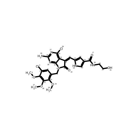 COc1c(Cl)cc(CN2C(=O)/C(=C\c3cc(C(=O)NCCO)c[nH]3)c3c(Cl)nc(N)nc32)c(OC)c1OC